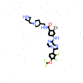 CCc1cc(Nc2nccn3c(-c4ccc(OC(F)F)c(F)c4F)cnc23)ccc1C(=O)NCC1CCN(CC2CNC2)CC1